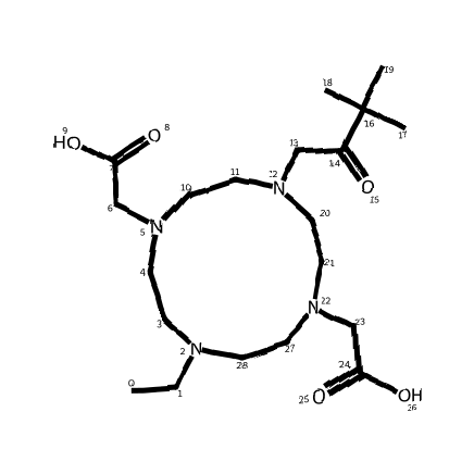 CCN1CCN(CC(=O)O)CCN(CC(=O)C(C)(C)C)CCN(CC(=O)O)CC1